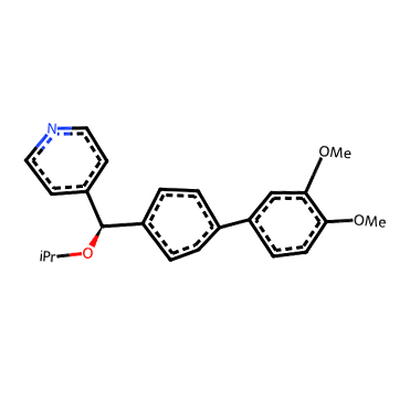 COc1ccc(-c2ccc([C@@H](OC(C)C)c3ccncc3)cc2)cc1OC